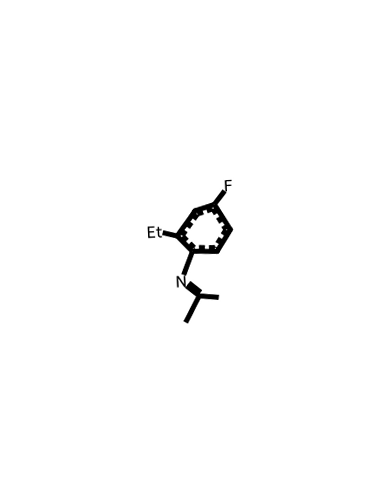 CCc1cc(F)ccc1N=C(C)C